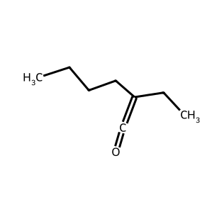 CCCCC(=C=O)CC